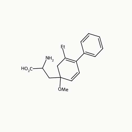 CCC1=C(c2ccccc2)C=CC(CC(N)C(=O)O)(OC)C1